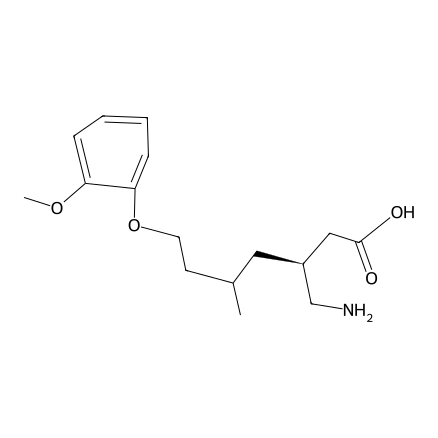 COc1ccccc1OCCC(C)C[C@H](CN)CC(=O)O